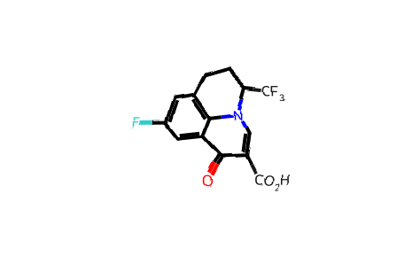 O=C(O)c1cn2c3c(cc(F)cc3c1=O)CCC2C(F)(F)F